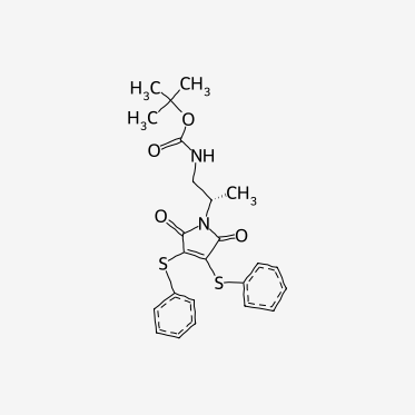 C[C@@H](CNC(=O)OC(C)(C)C)N1C(=O)C(Sc2ccccc2)=C(Sc2ccccc2)C1=O